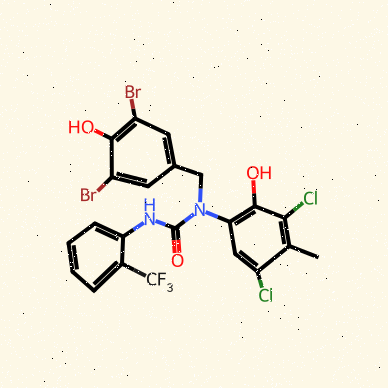 Cc1c(Cl)cc(N(Cc2cc(Br)c(O)c(Br)c2)C(=O)Nc2ccccc2C(F)(F)F)c(O)c1Cl